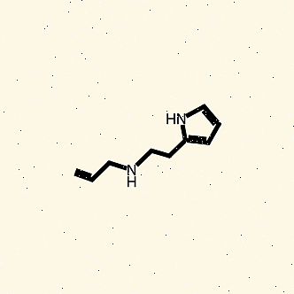 C=CCNCCc1ccc[nH]1